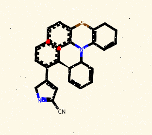 N#CC1=NCC(c2ccccc2[C@@H]2C=CC=CC2N2C3=C(CCC=C3)Sc3ccccc32)=C1